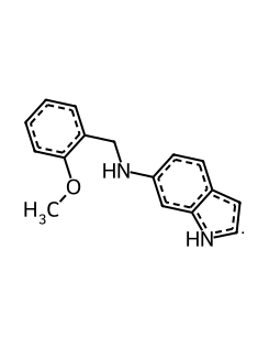 COc1ccccc1CNc1ccc2c[c][nH]c2c1